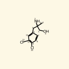 CC(N)(CO)Cc1ccc(Cl)c(Cl)c1